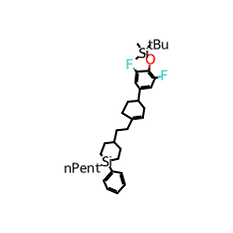 CCCCC[Si]1(c2ccccc2)CCC(CCC2=CCC(c3cc(F)c(O[Si](C)(C)C(C)(C)C)c(F)c3)CC2)CC1